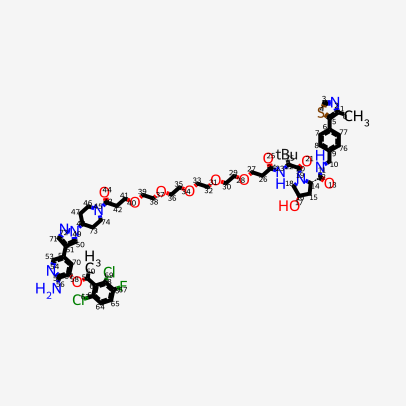 Cc1ncsc1-c1ccc(CNC(=O)[C@@H]2C[C@@H](O)CN2C(=O)C(NC(=O)CCOCCOCCOCCOCCOCCC(=O)N2CCC(n3cc(-c4cnc(N)c(OC(C)c5c(Cl)ccc(F)c5Cl)c4)cn3)CC2)C(C)(C)C)cc1